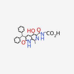 Cc1nc(C(=O)NCC(=O)O)c(O)c2cc(C(c3ccccc3)c3ccccc3)c(=O)[nH]c12